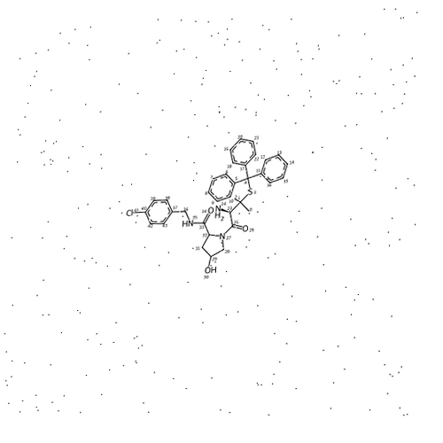 CC(C)(SC(c1ccccc1)(c1ccccc1)c1ccccc1)[C@H](N)C(=O)N1CC(O)CC1C(=O)NCc1ccc(Cl)cc1